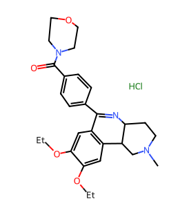 CCOc1cc2c(cc1OCC)C1CN(C)CCC1N=C2c1ccc(C(=O)N2CCOCC2)cc1.Cl